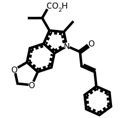 Cc1c(C(C)C(=O)O)c2cc3c(cc2n1C(=O)C=Cc1ccccc1)OCO3